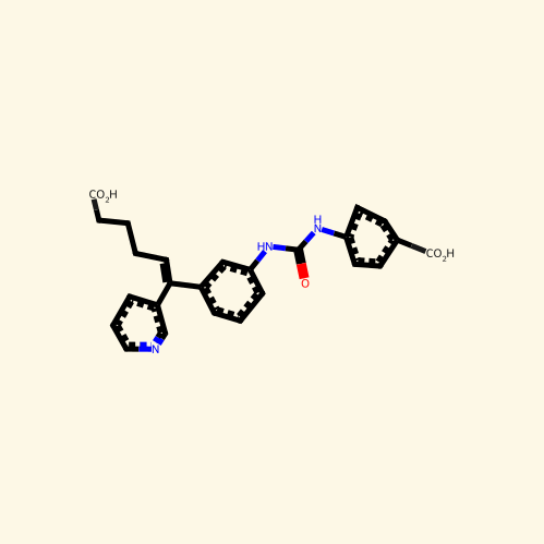 O=C(O)CCC/C=C(\c1cccnc1)c1cccc(NC(=O)Nc2ccc(C(=O)O)cc2)c1